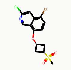 CS(=O)(=O)[C@H]1C[C@@H](Oc2ccc(Br)c3cc(Cl)ncc23)C1